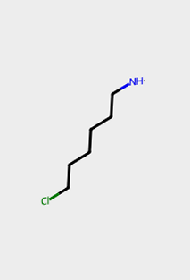 [NH]CCCCCCCl